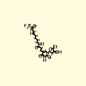 CC[C@H]1O[C@@H](n2cc(/C=C/C(=O)NCCCCCCNC(=O)C(F)(F)F)c(=O)[nH]c2=O)CC1O